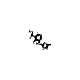 COC(=O)c1cccc(Nc2nc(C)cs2)c1C